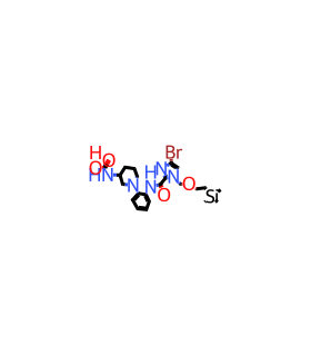 C[Si](C)(C)CCOCn1cc(Br)nc1C(=O)Nc1ccccc1N1CCCC(NC(=O)O)C1